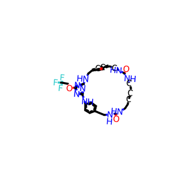 O=C1NCCCCCCNC(=O)NCc2ccc(cc2)Nc2nc(nc(OCC(F)(F)F)n2)NCc2ccc(cc2)CN1